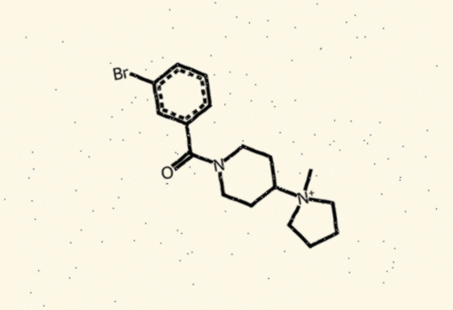 C[N+]1(C2CCN(C(=O)c3cccc(Br)c3)CC2)CCCC1